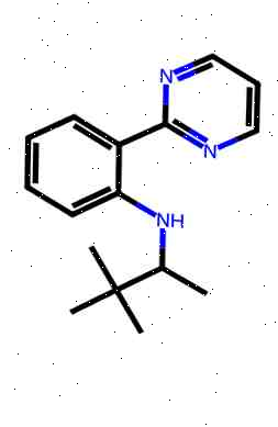 CC(Nc1ccccc1-c1ncccn1)C(C)(C)C